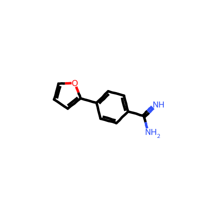 N=C(N)c1ccc(-c2ccco2)cc1